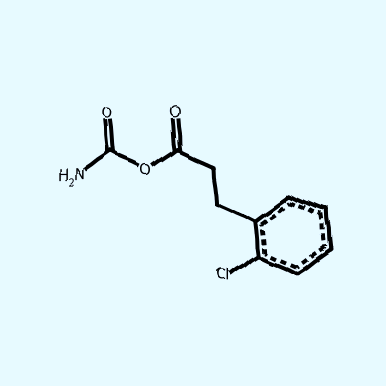 NC(=O)OC(=O)CCc1ccccc1Cl